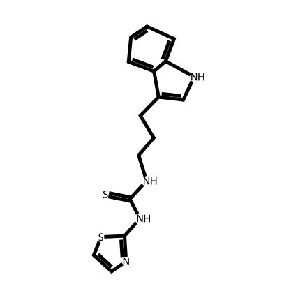 S=C(NCCCc1c[nH]c2ccccc12)Nc1nccs1